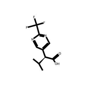 CC(C)[C@H](C(=O)O)c1cnc(C(F)(F)F)nc1